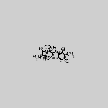 Cc1c(Cl)ccc(SC2=C(C(=O)O)N3C(=O)[C@@H](N)[C@@H]3SC2)c1Cl